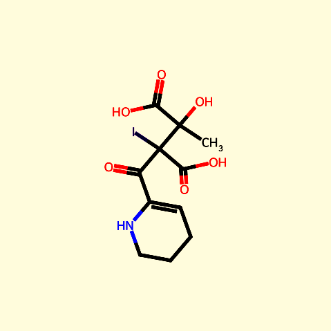 CC(O)(C(=O)O)C(I)(C(=O)O)C(=O)C1=CCCCN1